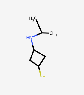 CC(C)NC1CC(S)C1